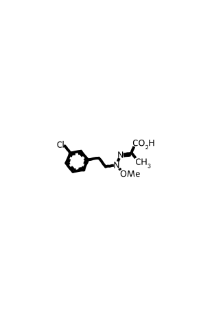 CON(CCc1cccc(Cl)c1)N=C(C)C(=O)O